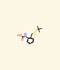 CC(C)(C)SSCc1ccccc1NC(=O)O